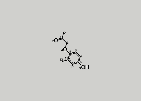 CC(=O)COc1ccc(O)cc1C